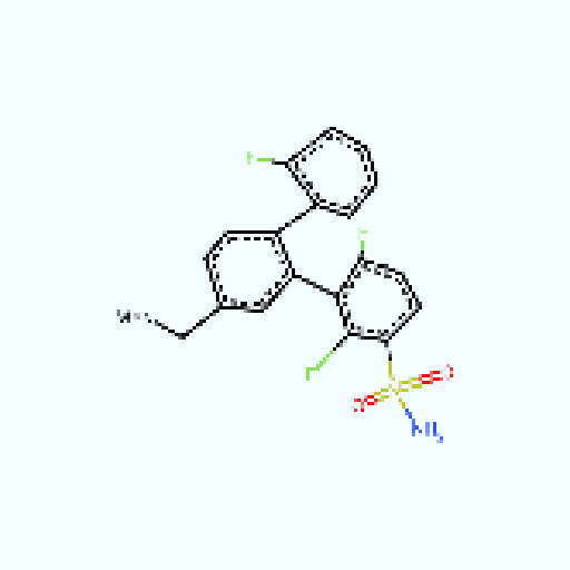 CNCc1ccc(-c2ccccc2F)c(-c2c(F)ccc(S(N)(=O)=O)c2F)c1